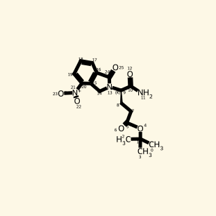 CC(C)(C)OC(=O)CC[C@H](C(N)=O)N1Cc2c(cccc2[N+](=O)[O-])C1=O